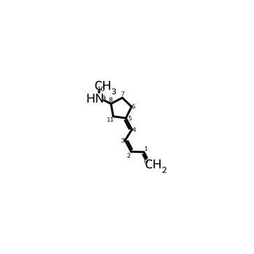 C=C/C=C\C=C1\CCC(NC)C1